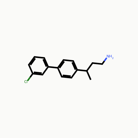 CC(CCN)c1ccc(-c2cccc(Cl)c2)cc1